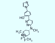 CN(c1ccc(-c2ccc(-n3ccnc3)cc2O)nn1)[C@H]1C[C@]2(C)CC(F)(F)[C@](C)(C1)N2